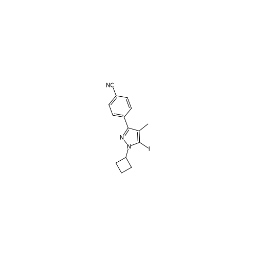 Cc1c(-c2ccc(C#N)cc2)nn(C2CCC2)c1I